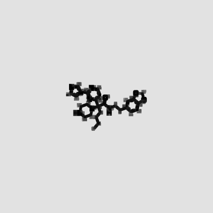 CCCCC(C(=O)NCCc1ccc2c(c1)OCO2)(c1ccnc(-n2ccnc2)n1)N1CCNCC1